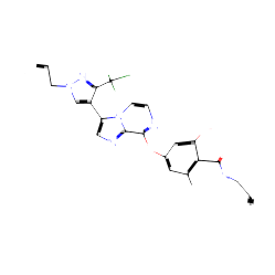 C#CCNC(=O)c1c(C)cc(Oc2nccn3c(-c4cn(CC=C)nc4C(F)(F)F)cnc23)cc1O